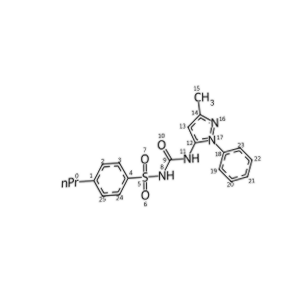 CCCc1ccc(S(=O)(=O)NC(=O)Nc2cc(C)nn2-c2ccccc2)cc1